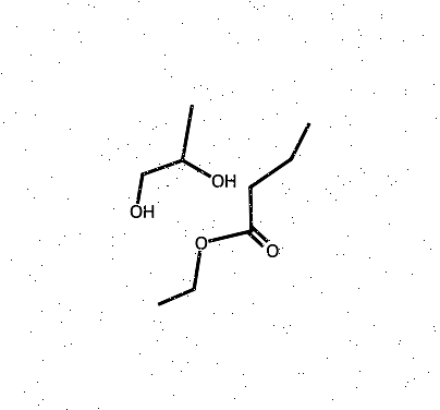 CC(O)CO.CCCC(=O)OCC